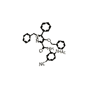 CC(=O)Nc1ccc(C#N)cc1NC(=O)c1nn(Cc2ccccc2)c(-c2ccccc2)c1OCc1ccccc1